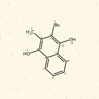 CCC(C)c1c(C)c(O)c2ccccc2c1O